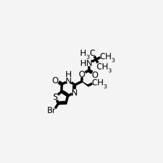 CC[C@H](OC(=O)NC(C)(C)C)c1nc2cc(Br)sc2c(=O)[nH]1